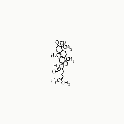 CC(C)=CCCC(OC=O)C1CC[C@]2(C)C3=C(CC[C@@]12C)[C@@]1(C)CCC(=O)C(C)(C)C1CC3